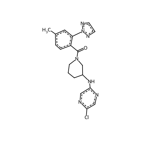 Cc1ccc(C(=O)N2CCCC(Nc3cnc(Cl)cn3)C2)c(-n2nccn2)c1